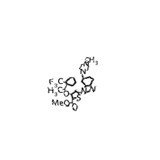 COC(=O)c1sc(-n2cnc3ccc(CN4CCN(C)CC4)cc32)cc1OC(C)c1ccccc1C(F)(F)F